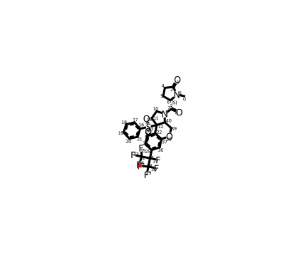 CN1C(=O)CC[C@H]1C(=O)N1CCC2(S(=O)(=O)c3ccccc3)c3ccc(C(F)(C(F)(F)F)C(F)(F)F)cc3OCC12